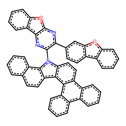 c1ccc2c(c1)ccc1c3c4c5ccccc5c5ccccc5c4ccc3n(-c3nc4c(nc3-c3ccc5c(c3)oc3ccccc35)oc3ccccc34)c21